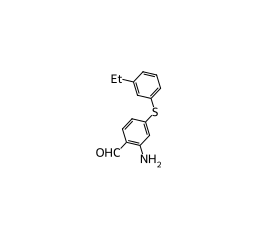 CCc1cccc(Sc2ccc(C=O)c(N)c2)c1